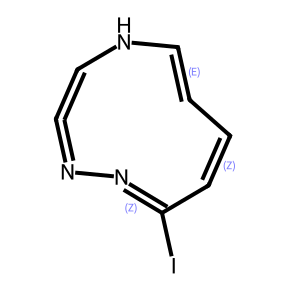 IC1=N\N=C=CN/C=C/C=C\1